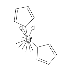 [CH3][Hf]([CH3])([CH3])([CH3])([CH3])([CH3])([CH3])([CH3])([CH3])([Cl])([Cl])([CH]1C=CC=C1)[CH]1C=CC=C1